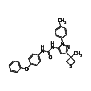 Cc1ccc(-n2nc(C3(C)CSC3)cc2NC(=O)Nc2ccc(Oc3ccccc3)cc2)cc1